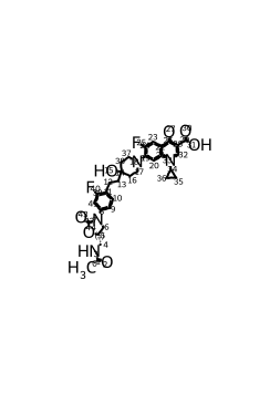 CC(=O)NC[C@H]1CN(c2ccc(CCC3(O)CCN(c4cc5c(cc4F)c(=O)c(C(=O)O)cn5C4CC4)CC3)c(F)c2)C(=O)O1